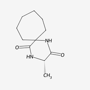 C[C@@H]1NC(=O)C2(CCCCCC2)NC1=O